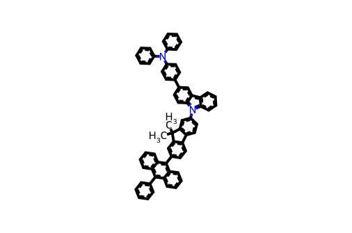 CC1(C)c2cc(-c3c4ccccc4c(-c4ccccc4)c4ccccc34)ccc2-c2ccc(-n3c4ccccc4c4cc(-c5ccc(N(c6ccccc6)c6ccccc6)cc5)ccc43)cc21